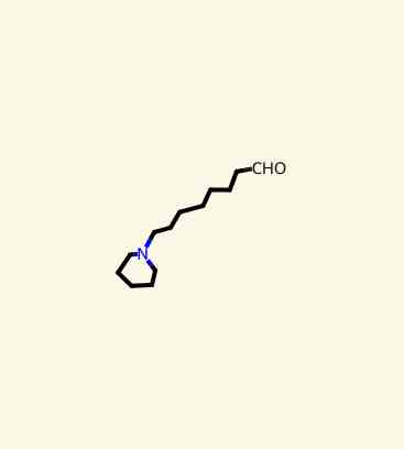 O=CCCCCCCCN1CCCCC1